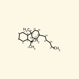 C=C(C)C1CCCCC1C1(C)CCC(CCCCC)CC1